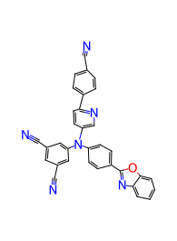 N#Cc1ccc(-c2ccc(N(c3ccc(-c4nc5ccccc5o4)cc3)c3cc(C#N)cc(C#N)c3)cn2)cc1